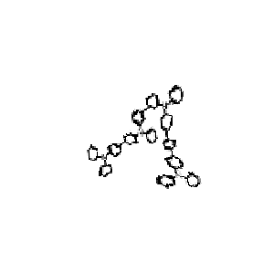 c1ccc(N(c2ccccc2)c2ccc(-c3ccc(-c4ccc(N(c5ccccc5)c5cccc(-c6cccc(N(c7ccccc7)c7ccc(-c8ccc(N(c9ccccc9)c9ccccc9)cc8)cc7)c6)c5)cc4)cc3)cc2)cc1